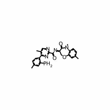 Cc1ccc(-c2nc(C(=O)/N=C3\COc4cc(C)ccc4N(C)C3=O)ncc2C)c(P)c1